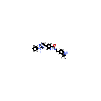 N#Cc1c[nH]c2ccc(CCNC(=O)c3ccc(-c4ccnc(NC5CC6CCC5C6)n4)cc3)cc12